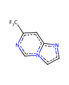 FC(F)(F)c1cc2nccn2cn1